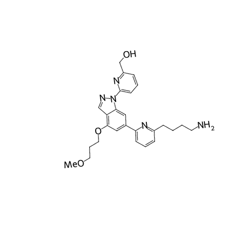 COCCCOc1cc(-c2cccc(CCCCN)n2)cc2c1cnn2-c1cccc(CO)n1